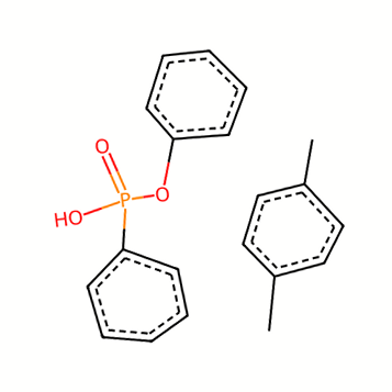 Cc1ccc(C)cc1.O=P(O)(Oc1ccccc1)c1ccccc1